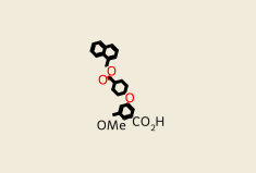 COc1c(C)cc(OC2CCC(C(=O)OCc3cccc4ccccc34)CC2)cc1C(=O)O